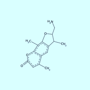 Cc1cc(=O)oc2c(C)c3c(cc12)C(C)C(CN)O3